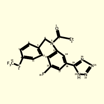 CCC(=O)N(Cc1ccc(SC(F)(F)F)cc1)c1cc(F)cc(-c2nnn[nH]2)c1